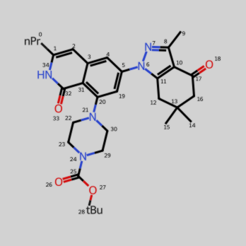 CCCc1cc2cc(-n3nc(C)c4c3CC(C)(C)CC4=O)cc(N3CCN(C(=O)OC(C)(C)C)CC3)c2c(=O)[nH]1